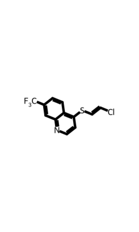 FC(F)(F)c1ccc2c(SC=CCl)ccnc2c1